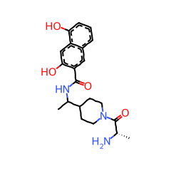 CC(NC(=O)c1cc2cccc(O)c2cc1O)C1CCN(C(=O)[C@H](C)N)CC1